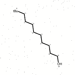 CC(C)(C)CCCCCCCCCO